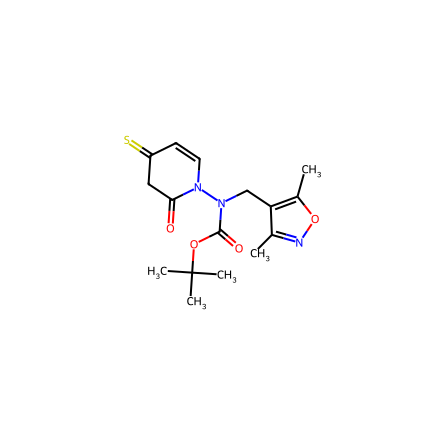 Cc1noc(C)c1CN(C(=O)OC(C)(C)C)N1C=CC(=S)CC1=O